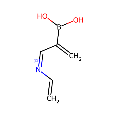 C=C/N=C\C(=C)B(O)O